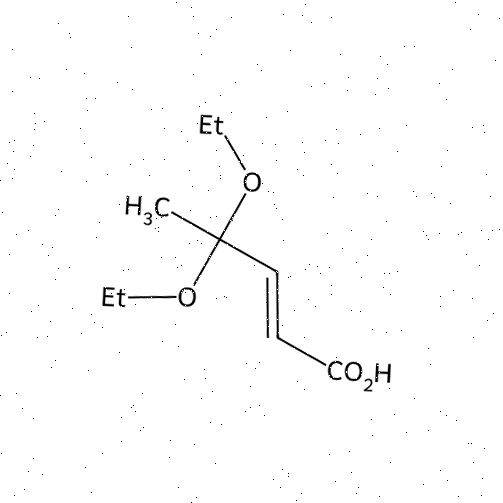 CCOC(C)(C=CC(=O)O)OCC